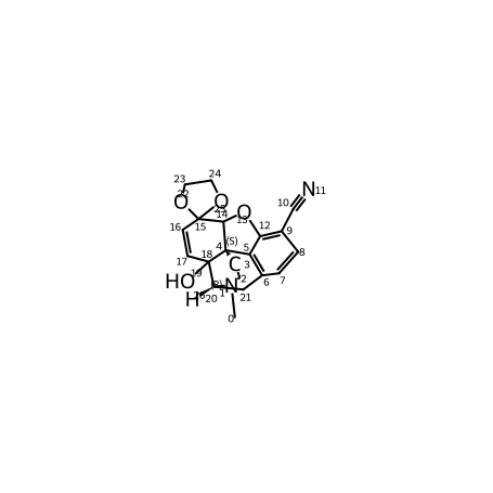 CN1CC[C@]23c4c5ccc(C#N)c4OC2C2(C=CC3(O)[C@H]1C5)OCCO2